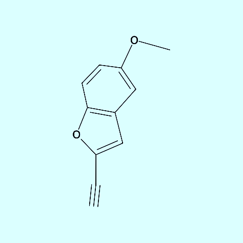 C#Cc1cc2cc(OC)ccc2o1